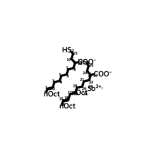 CCCCCCCCC=CCCCCCCC(CCS)C(=O)[O-].CCCCCCCCC=CCCCCCCC(CCS)C(=O)[O-].CCCCCCC[CH2][Sb+2]